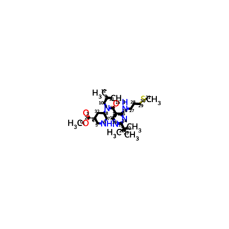 COC(=O)[C@H]1CNCC(N(CC(C)C)C(=O)c2cnc(C(C)(C)C)nc2NCCCSC)C1